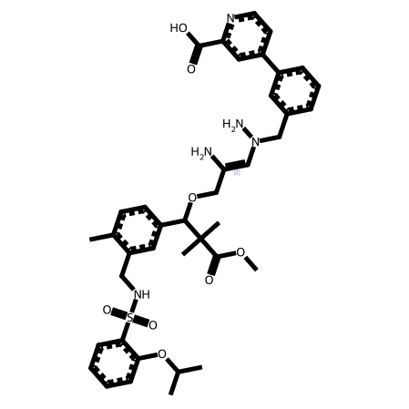 COC(=O)C(C)(C)C(OC/C(N)=C/N(N)Cc1cccc(-c2ccnc(C(=O)O)c2)c1)c1ccc(C)c(CNS(=O)(=O)c2ccccc2OC(C)C)c1